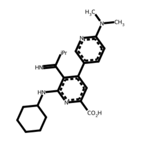 CC(C)C(=N)c1c(-c2ccc(N(C)C)nc2)cc(C(=O)O)nc1NC1CCCCC1